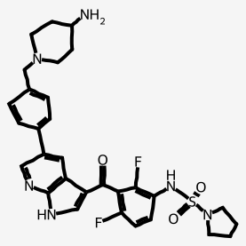 NC1CCN(Cc2ccc(-c3cnc4[nH]cc(C(=O)c5c(F)ccc(NS(=O)(=O)N6CCCC6)c5F)c4c3)cc2)CC1